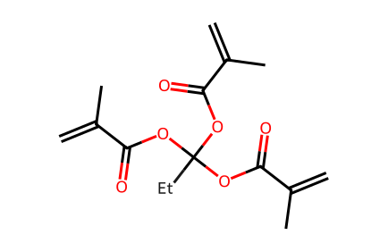 C=C(C)C(=O)OC(CC)(OC(=O)C(=C)C)OC(=O)C(=C)C